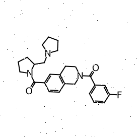 O=C(c1cccc(F)c1)N1CCc2cc(C(=O)N3CCCC3CN3CCCC3)ccc2C1